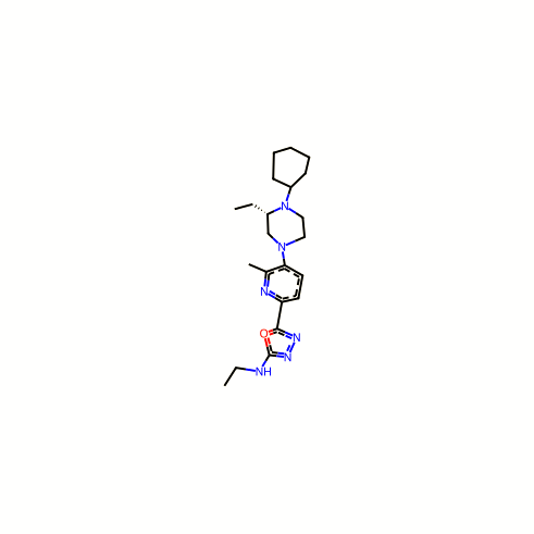 CCNc1nnc(-c2ccc(N3CCN(C4CCCCC4)[C@@H](CC)C3)c(C)n2)o1